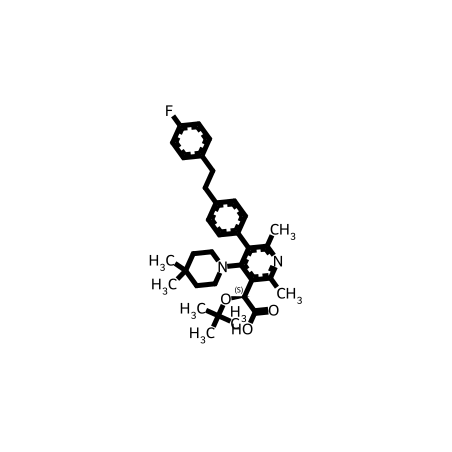 Cc1nc(C)c([C@H](OC(C)(C)C)C(=O)O)c(N2CCC(C)(C)CC2)c1-c1ccc(CCc2ccc(F)cc2)cc1